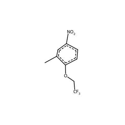 Cc1cc([N+](=O)[O-])ccc1OCC(F)(F)F